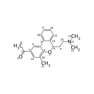 CC(=O)c1ccc(OC(CCN(C)C)c2ccccc2)c(C)c1